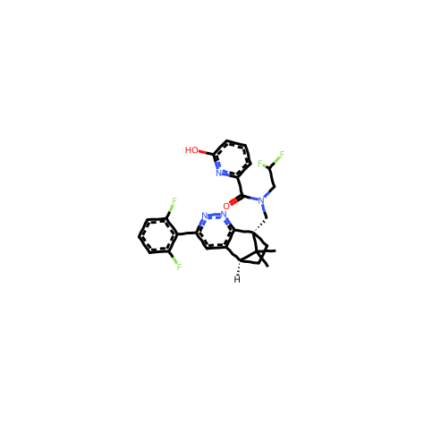 CC1(C)[C@H]2CC[C@]1(CN(CC(F)F)C(=O)c1cccc(O)n1)c1nnc(-c3c(F)cccc3F)cc12